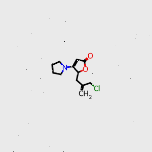 C=C(CCl)CC1OC(=O)C=C1N1CCCC1